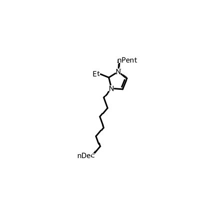 CCCCCCCCCCCCCCCCN1C=CN(CCCCC)C1CC